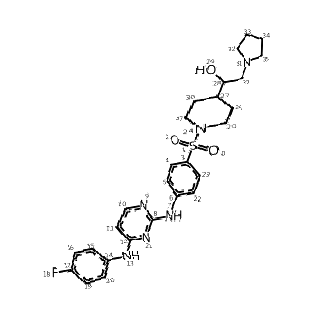 O=S(=O)(c1ccc(Nc2nccc(Nc3ccc(F)cc3)n2)cc1)N1CCC(C(O)CN2CCCC2)CC1